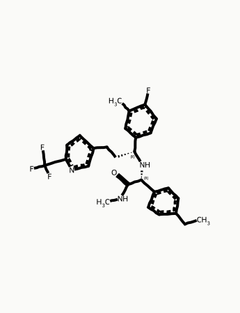 CCc1ccc([C@@H](N[C@H](CCc2ccc(C(F)(F)F)nc2)c2ccc(F)c(C)c2)C(=O)NC)cc1